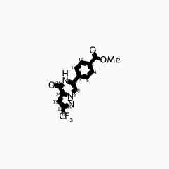 COC(=O)c1ccc(-c2cn3nc(C(F)(F)F)cc3c(=O)[nH]2)cc1